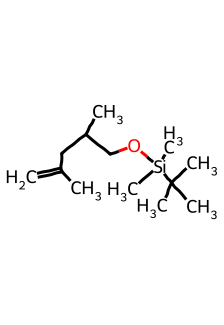 C=C(C)CC(C)CO[Si](C)(C)C(C)(C)C